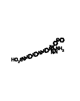 Nc1ncnc2c1c(-c1ccc(Oc3ccccc3)cc1)nn2C1CCN(C2CN(C3CCN(C4CCN(C5CN(C(=O)O)C5)CC4)CC3)C2)CC1